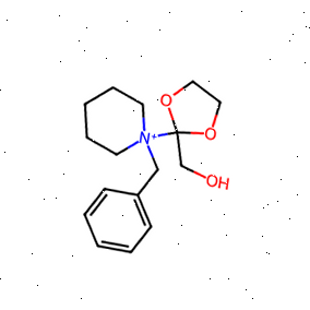 OCC1([N+]2(Cc3ccccc3)CCCCC2)OCCO1